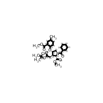 COC(=O)c1cc(C)ccc1O[C@@H]1CN(C(=O)c2ccccc2)[C@H](C(=O)OC)[C@H]1CC(=O)OC(C)(C)C